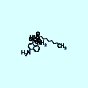 CCCCCCCCS(=O)(=O)NS(=O)(=O)c1ccc(N)c2cccc(N)c12